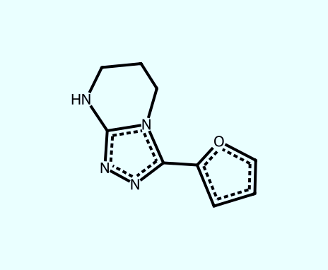 c1coc(-c2nnc3n2CCCN3)c1